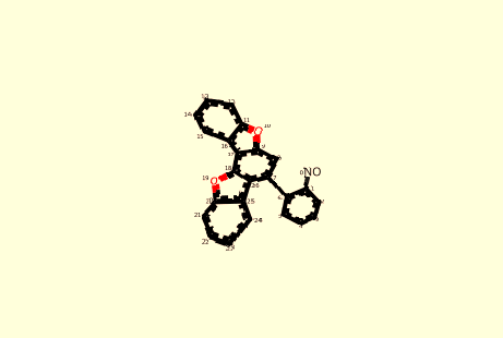 O=Nc1ccccc1-c1cc2oc3ccccc3c2c2oc3ccccc3c12